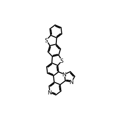 c1ccc2c(c1)sc1cc3c(cc12)sc1c3ccc2c3cnccc3c3nccn3c21